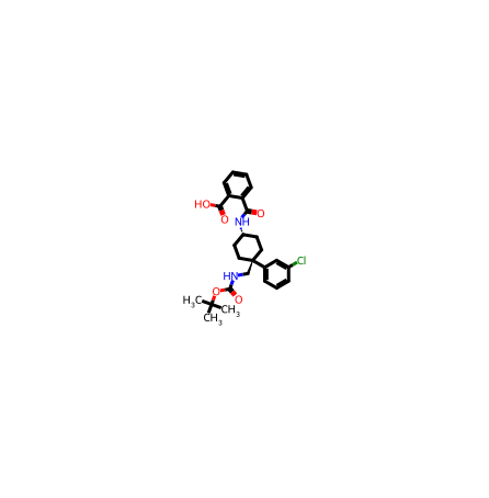 CC(C)(C)OC(=O)NC[C@]1(c2cccc(Cl)c2)CC[C@@H](NC(=O)c2ccccc2C(=O)O)CC1